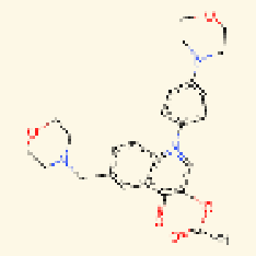 CCC(=O)Oc1cn(-c2ccc(N3CCOCC3)cc2)c2ccc(CN3CCOCC3)cc2c1=O